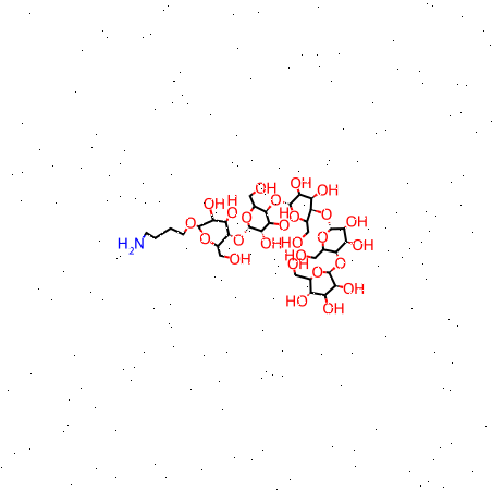 NCCCCO[C@H]1OC(CO)[C@@H](O[C@@H]2OC(CO)[C@@H](O[C@H]3OC(CO)[C@H](O[C@H]4OC(CO)[C@@H](O[C@@H]5OC(CO)[C@@H](O)C(O)[C@@H]5O)[C@H](O)C4O)[C@H](O)C3O)C(O)[C@@H]2O)[C@H](O)C1O